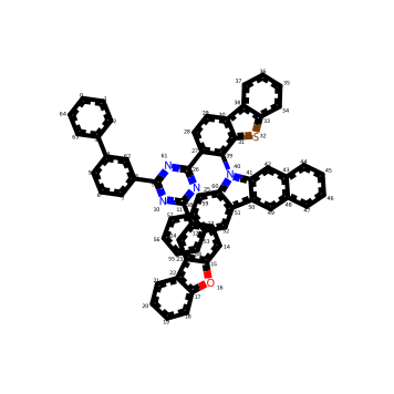 c1ccc(-c2cccc(-c3nc(-c4ccc5oc6ccccc6c5c4)nc(-c4ccc5c(sc6ccccc65)c4-n4c5cc6ccccc6cc5c5cc6ccccc6cc54)n3)c2)cc1